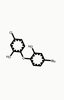 CC(C)(C)c1ccc(Oc2ccc(Cl)cc2O)c(O)c1